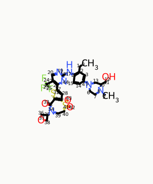 CCc1cc(N2CCN(C)C(CO)C2)ccc1Nc1ncc(C(F)(F)F)c(-c2cc3c(s2)C(=O)N(C2COC2)CCS3(=O)=O)n1